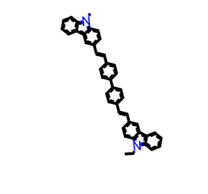 CCn1c2ccccc2c2cc(/C=C/c3ccc(-c4ccc(/C=C/c5ccc6c(c5)c5ccccc5n6C)cc4)cc3)ccc21